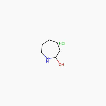 Cl.OC1CCCCCN1